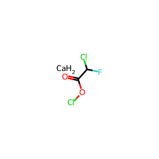 O=C(OCl)C(F)Cl.[CaH2]